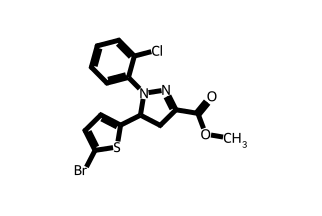 COC(=O)C1=NN(c2ccccc2Cl)C(c2ccc(Br)s2)C1